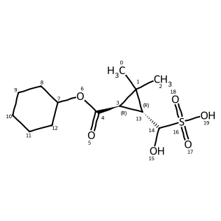 CC1(C)[C@H](C(=O)OC2CCCCC2)[C@H]1C(O)S(=O)(=O)O